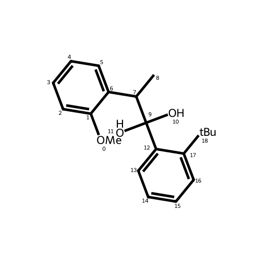 COc1ccccc1C(C)C(O)(O)c1ccccc1C(C)(C)C